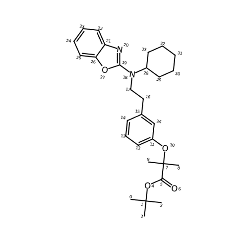 CC(C)(C)OC(=O)C(C)(C)Oc1cccc(CCN(c2nc3ccccc3o2)C2CCCCC2)c1